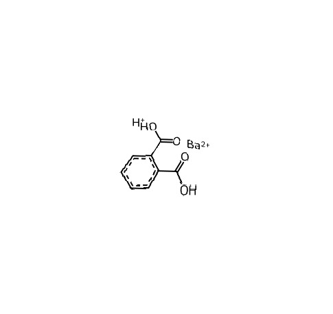 O=C(O)c1ccccc1C(=O)O.[Ba+2].[H+]